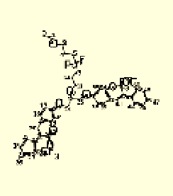 C=COCCCC(F)(F)CCCOC(COc1ccc2cc(-c3ccc(C)cc3C(F)(F)F)c(=O)oc2c1)COc1ccc2cc(-c3ccc(C)cc3C(F)(F)F)c(=O)oc2c1